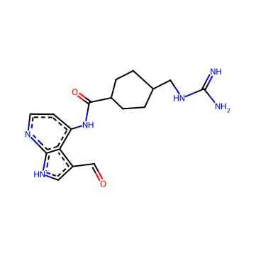 N=C(N)NCC1CCC(C(=O)Nc2ccnc3[nH]cc(C=O)c23)CC1